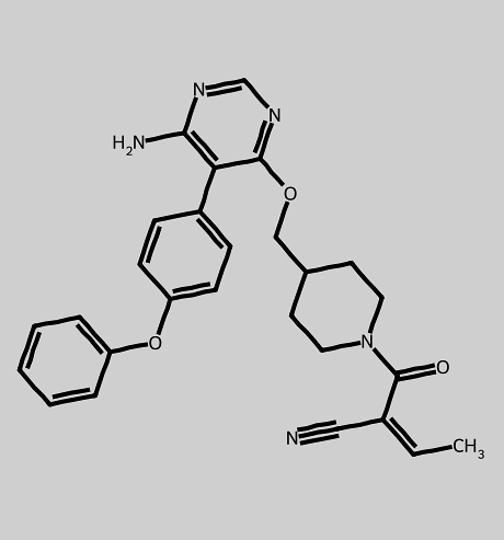 C/C=C(/C#N)C(=O)N1CCC(COc2ncnc(N)c2-c2ccc(Oc3ccccc3)cc2)CC1